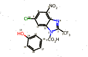 O=C(O)n1c(C(F)(F)F)nc2c([N+](=O)[O-])cc(Cl)cc21.Oc1ccccc1